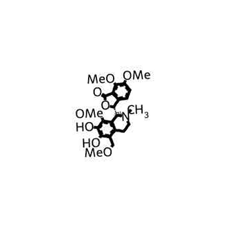 COCc1c(O)c(O)c(OC)c2c1CCN(C)[C@H]2C1OC(=O)c2c1ccc(OC)c2OC